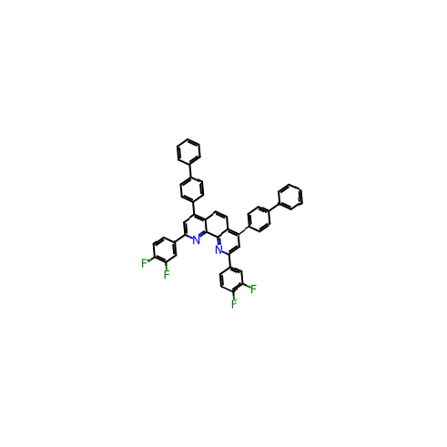 Fc1ccc(-c2cc(-c3ccc(-c4ccccc4)cc3)c3ccc4c(-c5ccc(-c6ccccc6)cc5)cc(-c5ccc(F)c(F)c5)nc4c3n2)cc1F